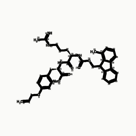 C=CCOc1ccc(C[C@H](NC(=O)[C@H](CCCNC(=N)N)NC(=O)OCC2c3ccccc3-c3cccc(C)c32)C(=O)OC)cc1